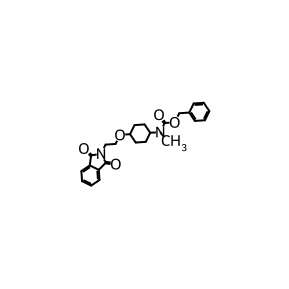 CN(C(=O)OCc1ccccc1)C1CCC(OCCN2C(=O)c3ccccc3C2=O)CC1